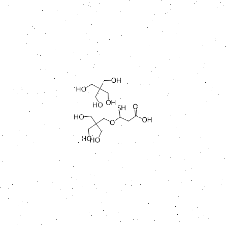 O=C(O)CC(S)OCC(CO)(CO)CO.OCC(CO)(CO)CO